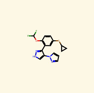 FC(F)Oc1ccc(SC2CC2)cc1-c1n[nH]cc1-n1cccn1